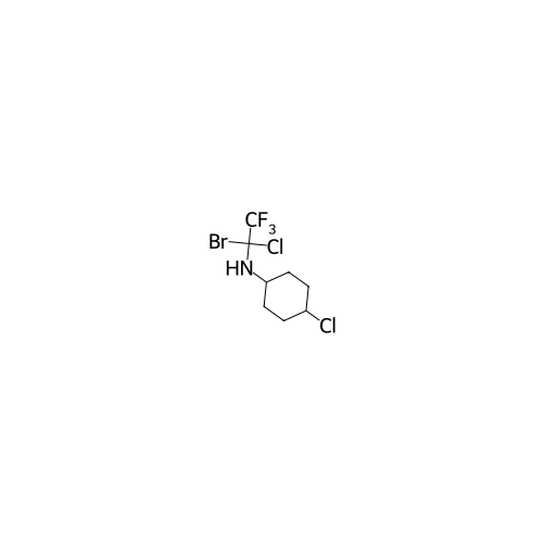 FC(F)(F)C(Cl)(Br)NC1CCC(Cl)CC1